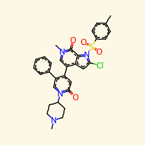 Cc1ccc(S(=O)(=O)n2c(Cl)cc3c(-c4cc(=O)n(C5CCN(C)CC5)cc4-c4ccccc4)cn(C)c(=O)c32)cc1